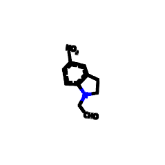 O=CCN1CCc2cc([N+](=O)[O-])ccc21